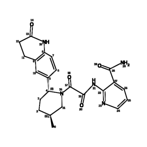 C[C@H]1CC[C@H](c2ccc3c(c2)CCC(=O)N3)N(C(=O)C(=O)Nc2ncccc2C(N)=O)C1